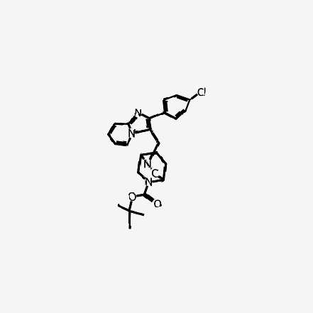 CC(C)(C)OC(=O)N1CC2CCC1CN2Cc1c(-c2ccc(Cl)cc2)nc2ccccn12